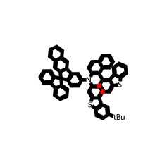 CC(C)(C)c1ccc2sc3cc(N(c4ccc5c(c4)C4C=c6ccccc6=CC4C54c5ccccc5-c5ccccc54)c4ccc5ccccc5c4-c4cccc5sc6ccccc6c45)ccc3c2c1